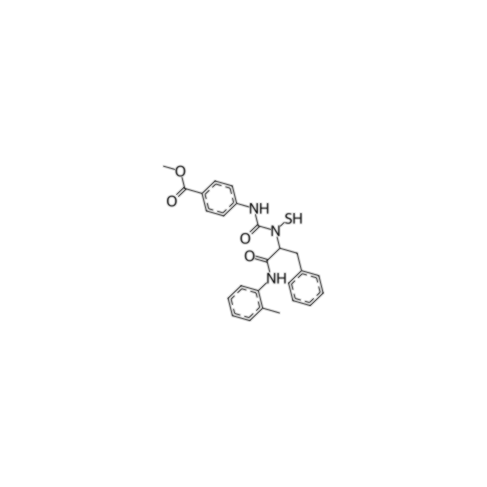 COC(=O)c1ccc(NC(=O)N(S)C(Cc2ccccc2)C(=O)Nc2ccccc2C)cc1